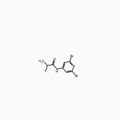 CC(F)C(=O)Nc1cc(Br)nc(Br)c1